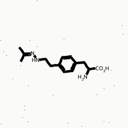 CC(C)=NNCCc1ccc(CC(N)C(=O)O)cc1